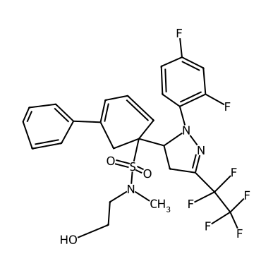 CN(CCO)S(=O)(=O)C1(C2CC(C(F)(F)C(F)(F)F)=NN2c2ccc(F)cc2F)C=CC=C(c2ccccc2)C1